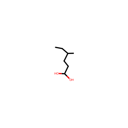 [CH2]CC(C)CCC(O)O